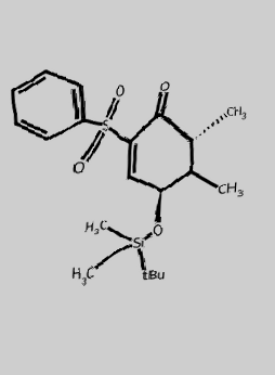 CC1[C@@H](O[Si](C)(C)C(C)(C)C)C=C(S(=O)(=O)c2ccccc2)C(=O)[C@@H]1C